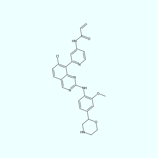 C=CC(=O)Nc1ccnc(-c2c(Cl)ccc3cnc(Nc4ccc(C5CNCCO5)cc4OC)nc23)c1